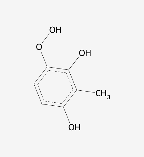 Cc1c(O)ccc(OO)c1O